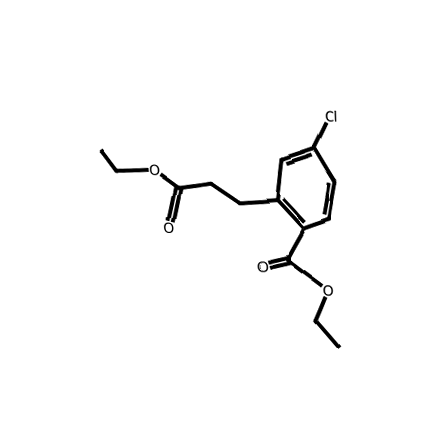 CCOC(=O)CCc1cc(Cl)ccc1C(=O)OCC